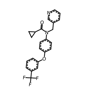 O=C(C1CC1)N(Cc1cccnc1)c1ccc(Oc2cccc(C(F)(F)F)c2)cc1